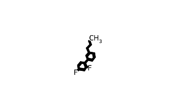 CCCCc1cccc(-c2ccc(F)cc2F)c1